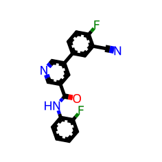 N#Cc1cc(-c2cncc(C(=O)Nc3ccccc3F)c2)ccc1F